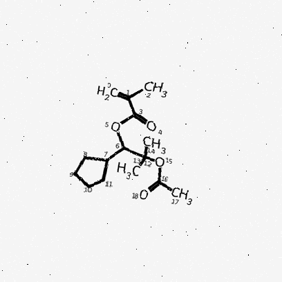 C=C(C)C(=O)OC(C1CCCC1)C(C)(C)OC(C)=O